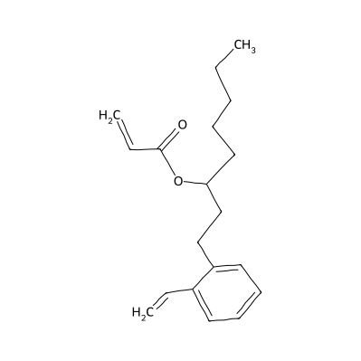 C=CC(=O)OC(CCCCC)CCc1ccccc1C=C